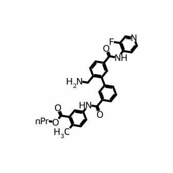 CCCOC(=O)c1cc(NC(=O)c2cccc(-c3cc(C(=O)Nc4ccncc4F)ccc3CN)c2)ccc1C